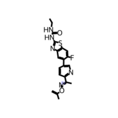 C=C(C)O/N=C(\C)c1ccc(-c2cc3nc(NC(=O)NCC)sc3cc2F)cn1